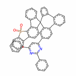 O=S1(=O)c2ccccc2-c2ccc3c(c21)-c1ccccc1C31c2ccccc2-c2ccccc2-c2ccc(-c3cc(-c4ccccc4)nc(-c4ccccc4)n3)cc21